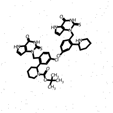 CC(C)(C)OC(=O)N1CCCCC1c1cc(Cl)ccc1Cn1c(=S)[nH]c(=O)c2[nH]ccc21.O=c1[nH]c(=S)n(Cc2ccc(Cl)cc2C2CCCCN2)c2cc[nH]c12